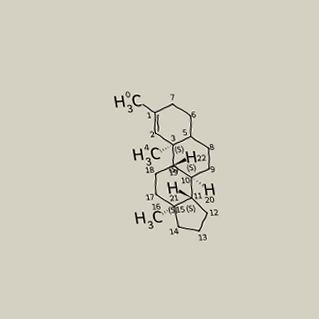 CC1=C[C@@]2(C)C(CC1)CC[C@H]1[C@@H]3CCC[C@@]3(C)CC[C@@H]12